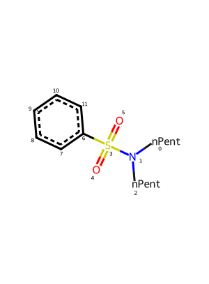 CCCCCN(CCCCC)S(=O)(=O)c1cc[c]cc1